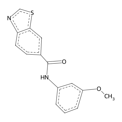 COc1cccc(NC(=O)c2ccc3ncsc3c2)c1